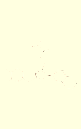 CN(C)C(=O)CCc1nc(Nc2ccc(F)c(F)c2)nn1-c1ccc2c(c1)OCCO2